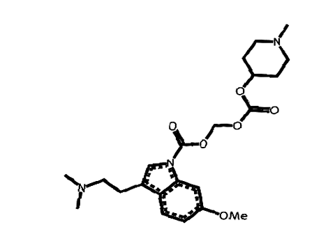 COc1ccc2c(CCN(C)C)cn(C(=O)OCOC(=O)OC3CCN(C)CC3)c2c1